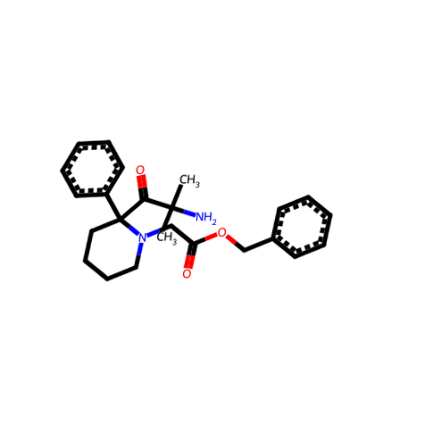 CC(C)(N)C(=O)C1(c2ccccc2)CCCCN1CC(=O)OCc1ccccc1